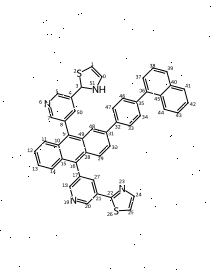 C1=CSC(c2cncc(-c3c4ccccc4c(-c4cncc(-c5nccs5)c4)c4ccc(-c5ccc(-c6cccc7ccccc67)cc5)cc34)c2)N1